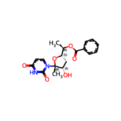 C[C@@H](OC(=O)c1ccccc1)[C@@H]1C[C@H](O)[C@](C)(n2ccc(=O)[nH]c2=O)O1